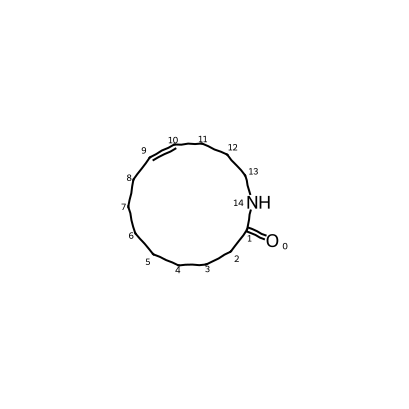 O=C1CCCCCCCC=CCCCN1